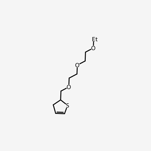 CCOCCOCCOCC1CC=CS1